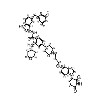 O=C1CCC(n2cnc3cc(OCCCN4CCN(c5ccc(C(=O)Nc6n[nH]c7ccc(Cc8cc(F)cc(F)c8)cc67)c(NC6CCOCC6)c5)CC4)ccc32)C(=O)N1